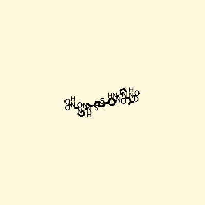 COC(=O)NCC(=O)N1CCC[C@H]1c1ncc(-c2cc3sc(-c4ccc5nc([C@@H]6CCCN6C(=O)[C@@H](NC(=O)OC)C(C)C)[nH]c5c4)cc3s2)[nH]1